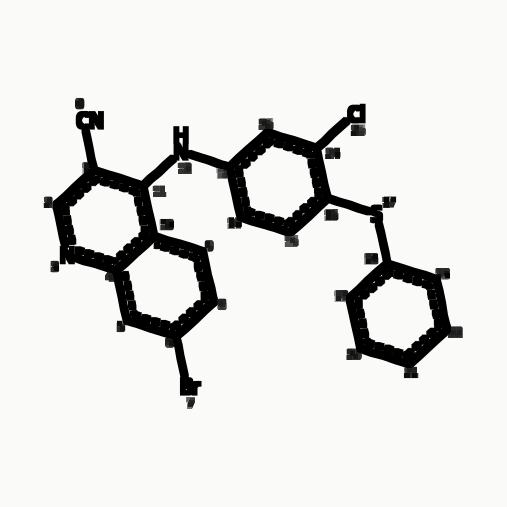 N#Cc1cnc2cc(Br)ccc2c1Nc1ccc(Sc2ccccc2)c(Cl)c1